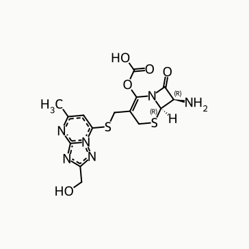 Cc1cc(SCC2=C(OC(=O)O)N3C(=O)[C@@H](N)[C@H]3SC2)n2nc(CO)nc2n1